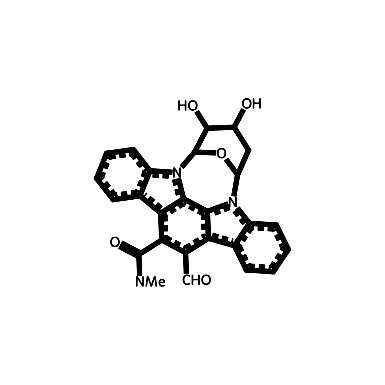 CNC(=O)c1c(C=O)c2c3ccccc3n3c2c2c1c1ccccc1n2C1OC3CC(O)C1O